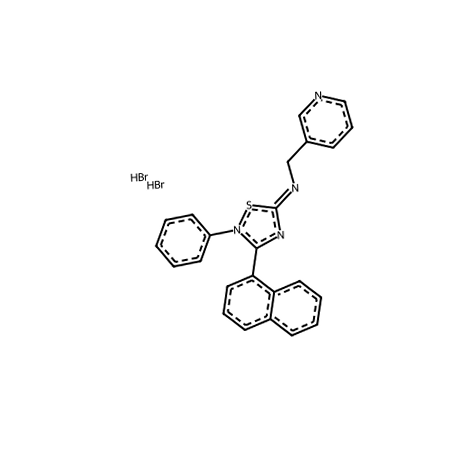 Br.Br.c1ccc(-n2s/c(=N\Cc3cccnc3)nc2-c2cccc3ccccc23)cc1